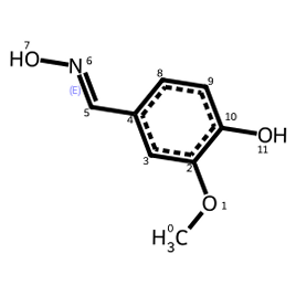 COc1cc(/C=N/O)ccc1O